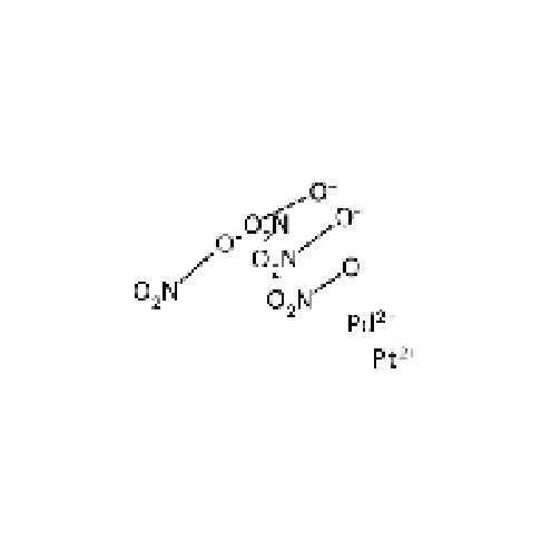 O=[N+]([O-])[O-].O=[N+]([O-])[O-].O=[N+]([O-])[O-].O=[N+]([O-])[O-].[Pd+2].[Pt+2]